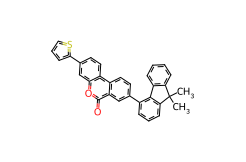 CC1(C)c2ccccc2-c2c(-c3ccc4c(c3)c(=O)oc3cc(-c5cccs5)ccc34)cccc21